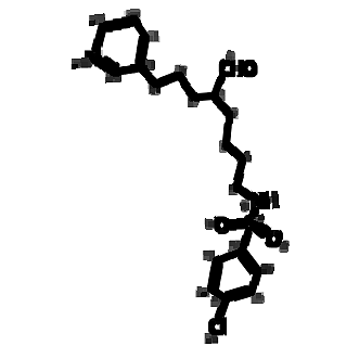 O=CC(CCCCNS(=O)(=O)c1ccc(Cl)cc1)CCCc1cccnc1